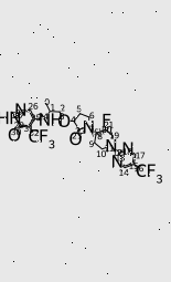 CC(COC1CCN([C@H]2CCN(c3ncc(C(F)(F)F)cn3)C[C@H]2F)C1=O)Nc1cn[nH]c(=O)c1C(F)(F)F